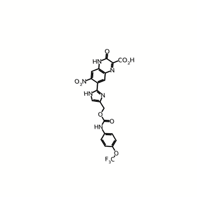 O=C(Nc1ccc(OC(F)(F)F)cc1)OCc1c[nH]c(-c2cc3nc(C(=O)O)c(=O)[nH]c3cc2[N+](=O)[O-])n1